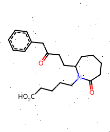 O=C(O)CCCCN1C(=O)CCCCC1CCC(=O)Cc1ccccc1